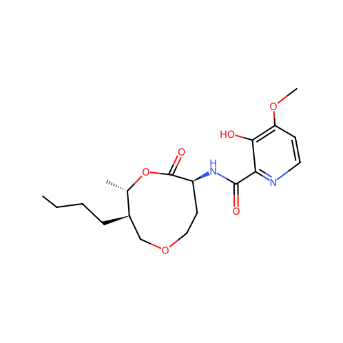 CCCC[C@@H]1COCC[C@H](NC(=O)c2nccc(OC)c2O)C(=O)O[C@H]1C